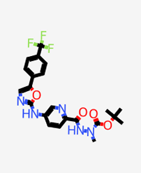 CN(NC(=O)c1ccc(Nc2ncc(-c3ccc(C(F)(F)F)cc3)o2)cn1)C(=O)OC(C)(C)C